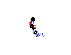 CC(=O)N(N)C1CCN(Cc2coc3cc(Oc4nc5ccccc5s4)ccc23)CC1